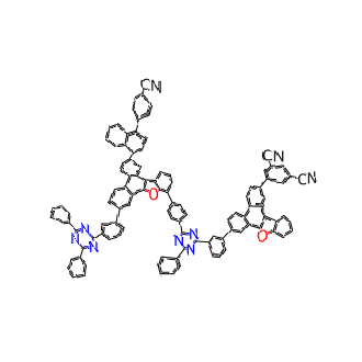 N#Cc1ccc(-c2ccc(-c3ccc4c5ccc(-c6cccc(-c7nc(-c8ccccc8)nc(-c8ccccc8)n7)c6)cc5c5oc6c(-c7ccc(-c8nc(-c9ccccc9)nc(-c9cccc(-c%10ccc%11c%12ccc(-c%13cc(C#N)cc(C#N)c%13)cc%12c%12c%13ccccc%13oc%12c%11c%10)c9)n8)cc7)cccc6c5c4c3)c3ccccc23)cc1